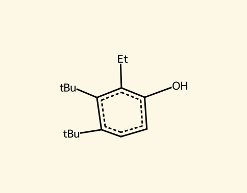 CCc1c(O)ccc(C(C)(C)C)c1C(C)(C)C